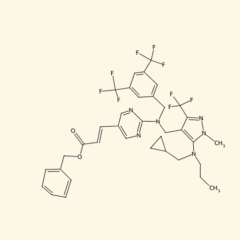 CCCN(CC1CC1)c1c(CN(Cc2cc(C(F)(F)F)cc(C(F)(F)F)c2)c2ncc(C=CC(=O)OCc3ccccc3)cn2)c(C(F)(F)F)nn1C